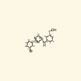 OCc1cccc(Nc2ncnc(-c3cccc(Br)c3)n2)c1